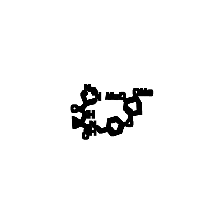 COc1ccc(Oc2ccc(CNC(=O)C3(NC(=O)c4cncnc4)CC3)cc2)cc1OC